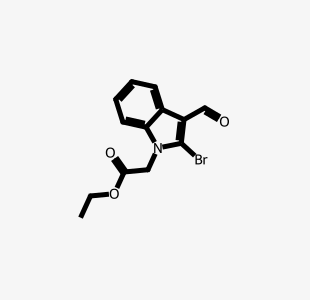 CCOC(=O)Cn1c(Br)c(C=O)c2ccccc21